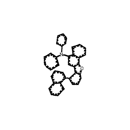 c1ccc(N(c2ccccc2)c2cc3c(oc4cccc(-c5cccc6ccccc56)c43)c3ccccc23)cc1